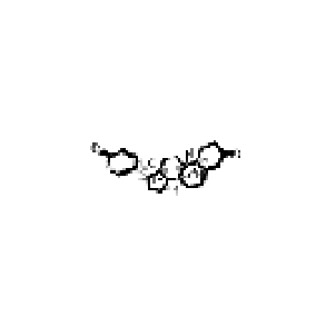 C[C@]12CC[C@H]3[C@@H](CCC4=CC(=O)CC[C@@]43C)[C@H]1CC[C@@H]2c1ccc(=O)oc1